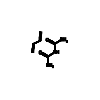 C=CC=C.NC(=O)NC(N)=O